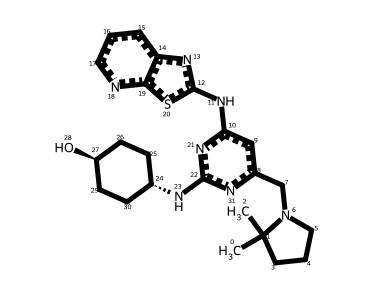 CC1(C)CCCN1Cc1cc(Nc2nc3cccnc3s2)nc(N[C@H]2CC[C@H](O)CC2)n1